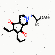 C=CC1=C(/C=C\C)C(=O)c2c[n+](CC(CC)OC)ccc2C1=O